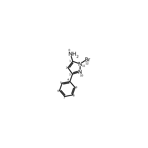 Nc1cc(-c2ccccc2)nn1Br